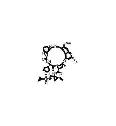 C=C[C@@H]1C[C@]1(NC(=O)[C@@H]1C[C@@H]2CN1C(=O)[C@H](C1CCCC1)NC(=O)O[C@@H]1CCC[C@@H]1CCCc1cc3c(cc(OCC)nc3cc1OC)O2)C(=O)NS(=O)(=O)C1CC1